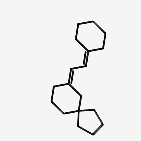 C(/C=C1/CCCC2(CCCC2)C1)=C1CCCCC1